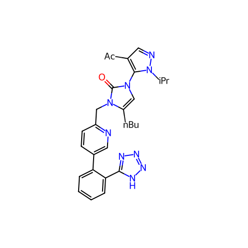 CCCCc1cn(-c2c(C(C)=O)cnn2C(C)C)c(=O)n1Cc1ccc(-c2ccccc2-c2nnn[nH]2)cn1